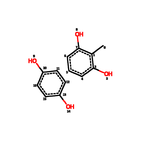 Cc1c(O)cccc1O.Oc1ccc(O)cc1